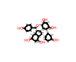 O=C(c1ccc(O)cc1)[C@H]1c2cc(O)cc(O)c2[C@@H](c2ccc(O)cc2)[C@H]1c1cc(O)cc(O)c1